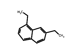 CCc1c[c]c2cccc(CC)c2c1